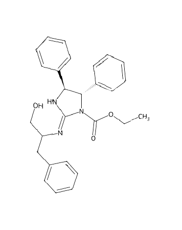 CCOC(=O)N1/C(=N/C(CO)Cc2ccccc2)N[C@@H](c2ccccc2)[C@@H]1c1ccccc1